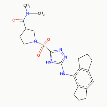 CN(C)C(=O)C1CCN(S(=O)(=O)c2nnc(Nc3c4c(cc5c3CCC5)CCC4)[nH]2)C1